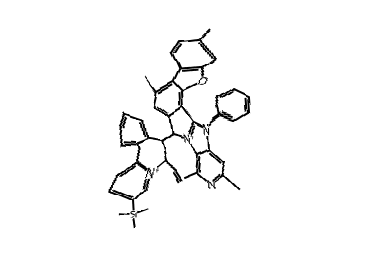 C=CC1C(C2c3cc(C)c4c(oc5cc(C)ccc54)c3-c3n(-c4ccccc4)c4cc(C)nc(C)c4[n+]32)c2ccccc2-c2ccc([Si](C)(C)C)c[n+]21